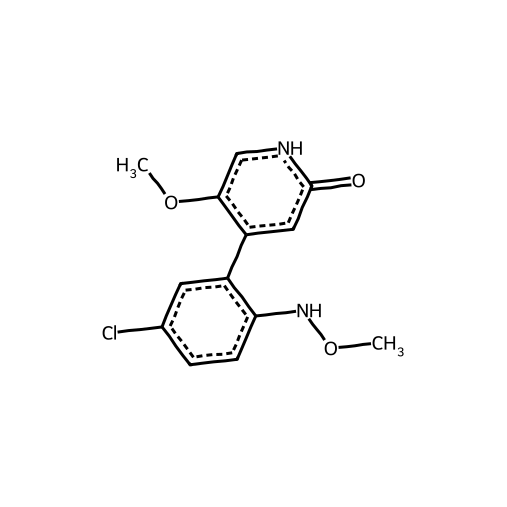 CONc1ccc(Cl)cc1-c1cc(=O)[nH]cc1OC